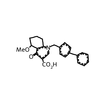 COC1CCCc2c1c(=O)c(C(=O)O)cn2Cc1ccc(-c2ccccc2)cc1